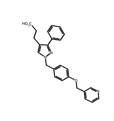 O=C(O)CCc1cn(Cc2ccc(OCc3cccnc3)cc2)nc1-c1ccccc1